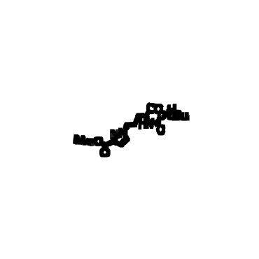 COC(=O)c1ccn(CCCC(NC(=O)OC(C)(C)C)C(=O)O)n1